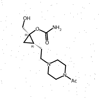 CC(=O)N1CCN(CC[C@@H]2C[C@@]2(CO)OC(N)=O)CC1